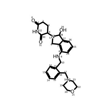 O=C1CCC(N2Cc3c(NCc4ccccc4CN4CCOCC4)cccc3C2O)C(=O)N1